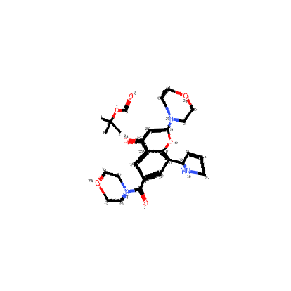 CC(C)(C)OC=O.O=C(c1cc(C2C=CCN2)c2oc(N3CCOCC3)cc(=O)c2c1)N1CCOCC1